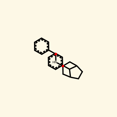 c1ccc(CNC2CC3CCC(C2)C3c2ccccc2)cc1